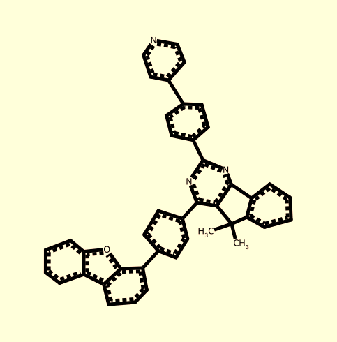 CC1(C)c2ccccc2-c2nc(-c3ccc(-c4ccncc4)cc3)nc(-c3ccc(-c4cccc5c4oc4ccccc45)cc3)c21